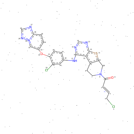 O=C(/C=C/CCl)N1CCc2c(sc3ncnc(Nc4ccc(Oc5ccc6ncnn6c5)c(Cl)c4)c23)C1